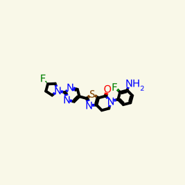 Nc1cccc(N2CCc3nc(-c4cnc(N5CC[C@H](F)C5)nc4)sc3C2=O)c1F